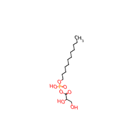 CCCCCCCCCCCCOP(=O)(O)OC(=O)C(O)CO